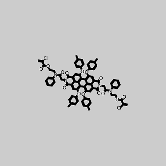 C=C(Cl)C(=O)OCCN(C(=O)CN1C(=O)c2cc(Oc3ccc(C)cc3)c3c4c(Oc5ccc(C)cc5)cc5c6c(cc(Oc7ccc(C)cc7)c(c7c(Oc8ccc(C)cc8)cc(c2c37)C1=O)c64)C(=O)N(CC(=O)N(CCOC(=O)C(=C)Cl)c1ccccc1)C5=O)c1ccccc1